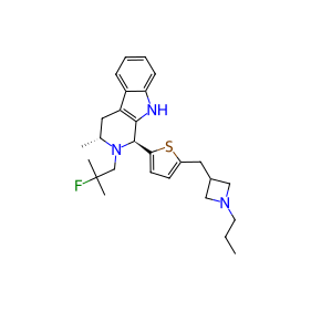 CCCN1CC(Cc2ccc([C@@H]3c4[nH]c5ccccc5c4C[C@@H](C)N3CC(C)(C)F)s2)C1